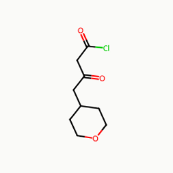 O=C(Cl)CC(=O)CC1CCOCC1